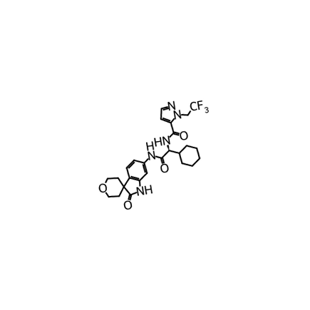 O=C(N[C@H](C(=O)Nc1ccc2c(c1)NC(=O)C21CCOCC1)C1CCCCC1)c1ccnn1CC(F)(F)F